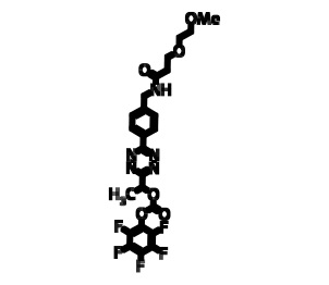 COCCOCCC(=O)NCc1ccc(-c2nnc(C(C)OC(=O)Oc3c(F)c(F)c(F)c(F)c3F)nn2)cc1